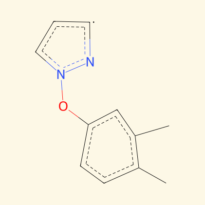 Cc1ccc(On2cc[c]n2)cc1C